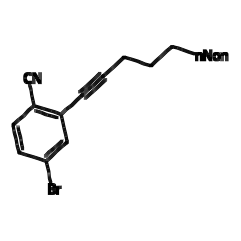 CCCCCCCCCCCCC#Cc1cc(Br)ccc1C#N